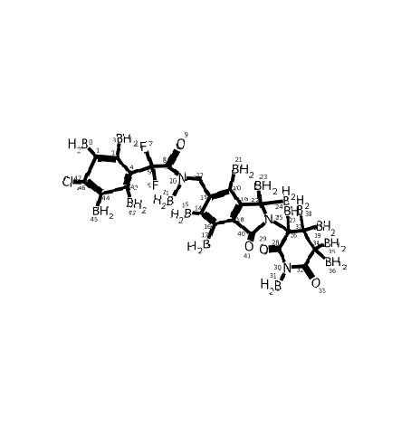 Bc1c(B)c(C(F)(F)C(=O)N(B)Cc2c(B)c(B)c3c(c2B)C(B)(B)N(C2(B)C(=O)N(B)C(=O)C(B)(B)C2(B)B)C3=O)c(B)c(B)c1Cl